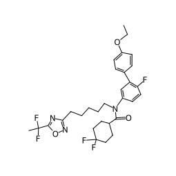 CCOc1ccc(-c2cc(N(CCCCCc3noc(C(C)(F)F)n3)C(=O)C3CCC(F)(F)CC3)ccc2F)cc1